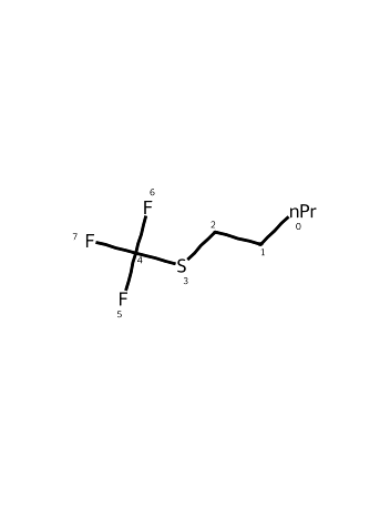 [CH2]CCCCSC(F)(F)F